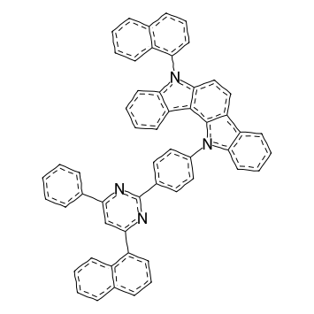 c1ccc(-c2cc(-c3cccc4ccccc34)nc(-c3ccc(-n4c5ccccc5c5ccc6c(c7ccccc7n6-c6cccc7ccccc67)c54)cc3)n2)cc1